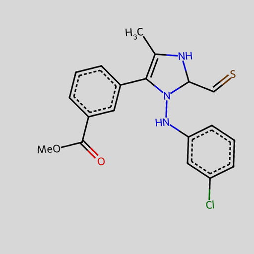 COC(=O)c1cccc(C2=C(C)NC(C=S)N2Nc2cccc(Cl)c2)c1